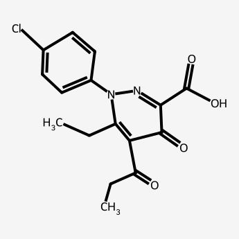 CCC(=O)c1c(CC)n(-c2ccc(Cl)cc2)nc(C(=O)O)c1=O